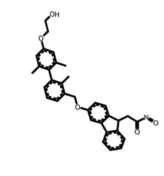 Cc1cc(OCCO)cc(C)c1-c1cccc(COc2ccc3c(c2)-c2ccccc2C3CC(=O)N=O)c1C